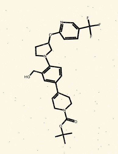 CC(C)(C)OC(=O)N1CC=C(c2ccc(N3CCC(Oc4ccc(C(F)(F)F)cn4)C3)c(CO)c2)CC1